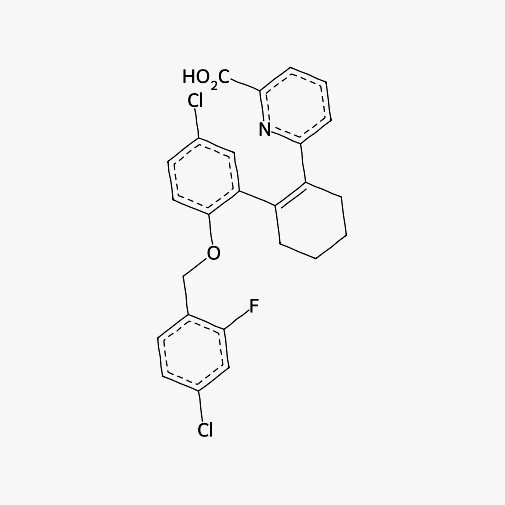 O=C(O)c1cccc(C2=C(c3cc(Cl)ccc3OCc3ccc(Cl)cc3F)CCCC2)n1